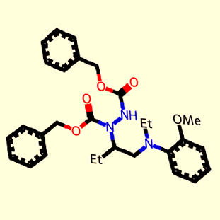 CCC(CN(CC)c1ccccc1OC)N(NC(=O)OCc1ccccc1)C(=O)OCc1ccccc1